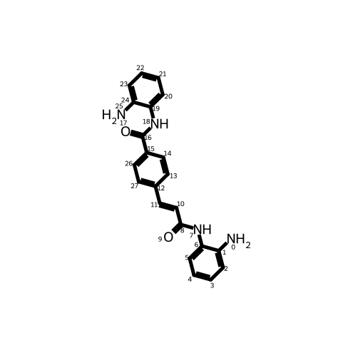 Nc1ccccc1NC(=O)/C=C/c1ccc(C(=O)Nc2ccccc2N)cc1